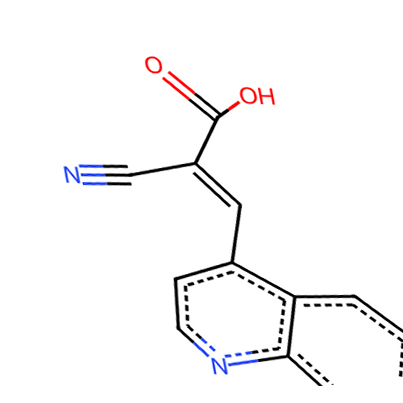 N#C/C(=C\c1ccnc2ccccc12)C(=O)O